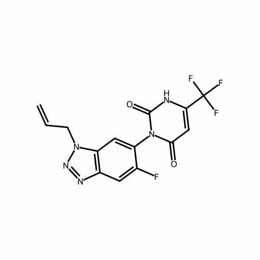 C=CCn1nnc2cc(F)c(-n3c(=O)cc(C(F)(F)F)[nH]c3=O)cc21